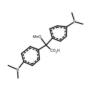 COC(C(=O)O)(c1ccc(N(C)C)cc1)c1ccc(N(C)C)cc1